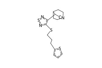 c1csc(CCCSc2nsnc2C2CN3CCC2CC3)c1